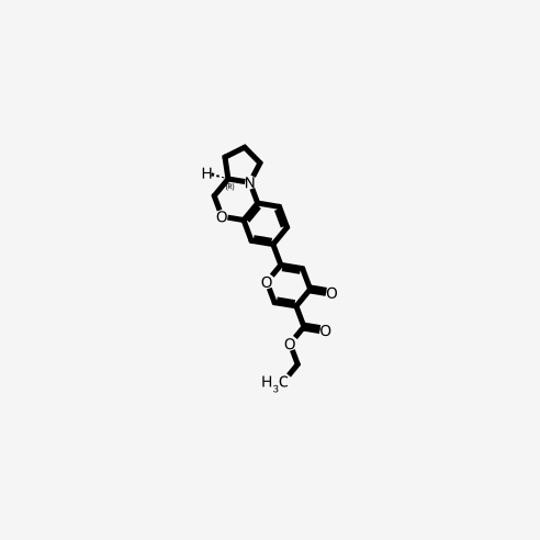 CCOC(=O)c1coc(-c2ccc3c(c2)OC[C@H]2CCCN32)cc1=O